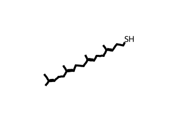 CC(C)=CCC/C(C)=C/CC/C(C)=C/CC/C(C)=C/CCS